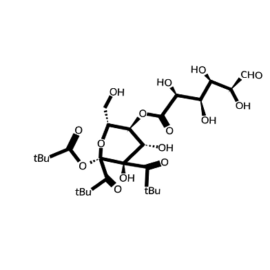 CC(C)(C)C(=O)O[C@]1(C(=O)C(C)(C)C)O[C@H](CO)[C@@H](OC(=O)[C@@H](O)[C@H](O)[C@@H](O)[C@H](O)C=O)[C@H](O)[C@]1(O)C(=O)C(C)(C)C